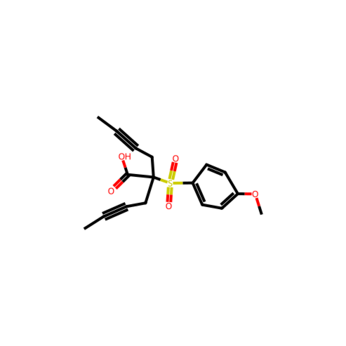 CC#CCC(CC#CC)(C(=O)O)S(=O)(=O)c1ccc(OC)cc1